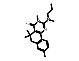 CCCN(C)c1nc2c(c(=O)n1C)C(C)(C)Cc1cc(C)ccc1-2